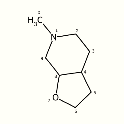 CN1CCC2CCOC2C1